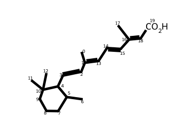 CC(/C=C/C1C(C)CCCC1(C)C)=C\C=C\C(C)=C\C(=O)O